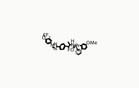 COc1ccc(N2CCS/C2=N\C(=O)NC(C)C(F)c2ccc(-c3ncn(-c4ccc(OC(F)(F)F)cc4)n3)cc2)c(C(C)C)c1